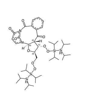 CC(C)[SiH](C(C)C)[Si](OOC[C@H]1O[C@@H]2[C@H](C(=O)c3ccccc3C(=O)n3c(=O)ccn2c3=O)[C@@H]1OO[Si](C(C)C)(C(C)C)[SiH](C(C)C)C(C)C)(C(C)C)C(C)C